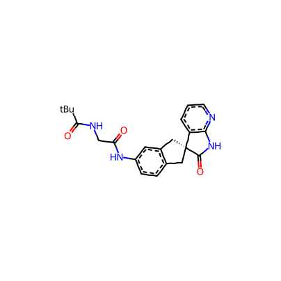 CC(C)(C)C(=O)NCC(=O)Nc1ccc2c(c1)C[C@@]1(C2)C(=O)Nc2ncccc21